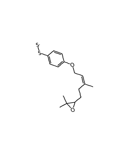 CC(=CCOc1ccc(S[S])cc1)CCC1OC1(C)C